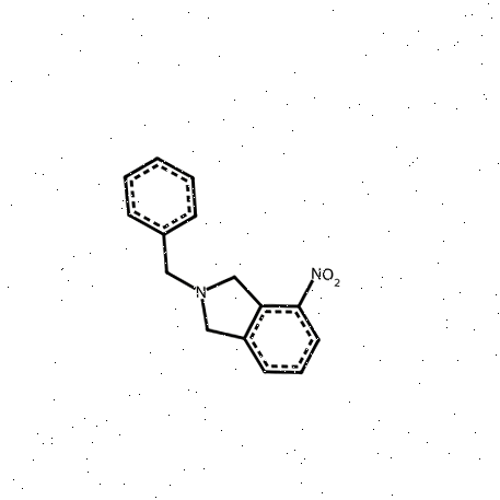 O=[N+]([O-])c1cccc2c1CN(Cc1ccccc1)C2